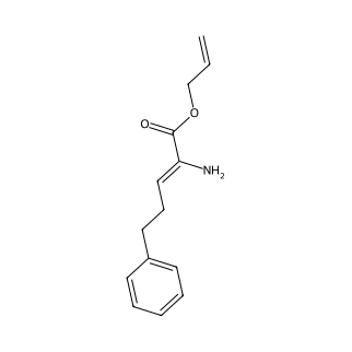 C=CCOC(=O)C(N)=CCCc1ccccc1